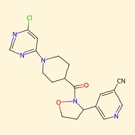 N#Cc1cncc(C2CCON2C(=O)C2CCN(c3cc(Cl)ncn3)CC2)c1